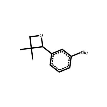 CC(C)(C)c1cccc(C2OCC2(C)C)c1